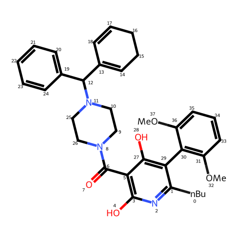 CCCCc1nc(O)c(C(=O)N2CCN(C(C3=CCCC=C3)c3ccccc3)CC2)c(O)c1-c1c(OC)cccc1OC